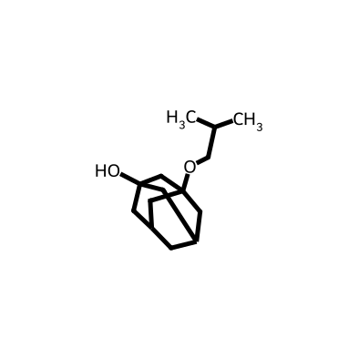 CC(C)COC12CC3CC(CC(O)(C3)C1)C2